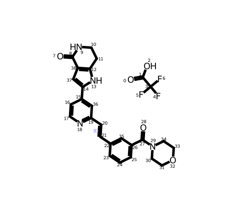 O=C(O)C(F)(F)F.O=C1NCCc2[nH]c(-c3ccnc(/C=C/c4cccc(C(=O)N5CCOCC5)c4)c3)cc21